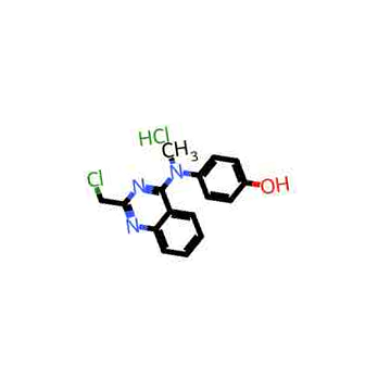 CN(c1ccc(O)cc1)c1nc(CCl)nc2ccccc12.Cl